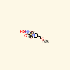 CCCCOCCC1CCN(S(=O)(=O)C(CCC)(CCC)C(=O)NO)CC1